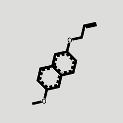 C=CCOc1ccc2cc(OC)ccc2c1